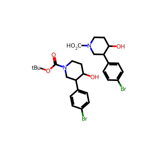 CC(C)(C)OC(=O)N1CCC(O)C(c2ccc(Br)cc2)C1.O=C(O)N1CCC(O)C(c2ccc(Br)cc2)C1